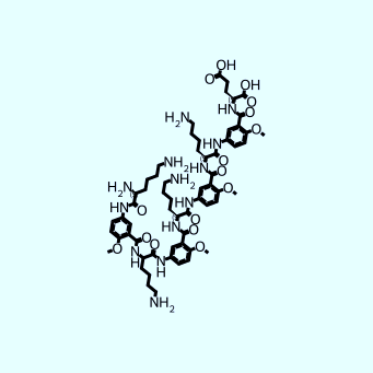 COc1ccc(NC(=O)[C@@H](N)CCCCN)cc1C(=O)NC(CCCCN)C(=O)Nc1ccc(OC)c(C(=O)N[C@@H](CCCCN)C(=O)Nc2ccc(OC)c(C(=O)N[C@@H](CCCCN)C(=O)Nc3ccc(OC)c(C(=O)N[C@@H](CCC(=O)O)C(=O)O)c3)c2)c1